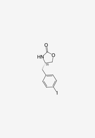 O=C1N[C@@H](Cc2ccc(I)cc2)CO1